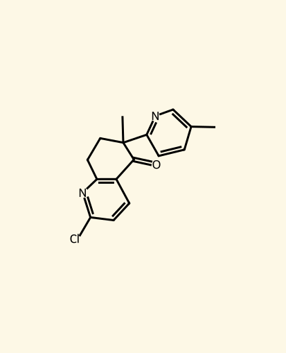 Cc1ccc(C2(C)CCc3nc(Cl)ccc3C2=O)nc1